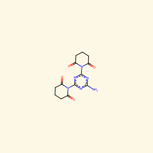 Nc1nc(N2C(=O)CCCC2=O)nc(N2C(=O)CCCC2=O)n1